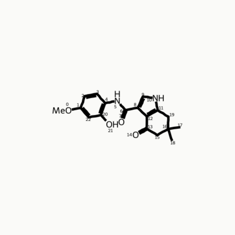 COc1ccc(NC(=O)c2c[nH]c3c2C(=O)CC(C)(C)C3)c(O)c1